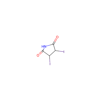 O=C1NC(=O)C(I)C1I